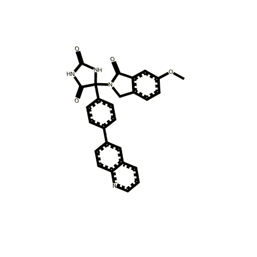 COc1ccc2c(c1)C(=O)N(C1(c3ccc(-c4ccc5ncccc5c4)cc3)NC(=O)NC1=O)C2